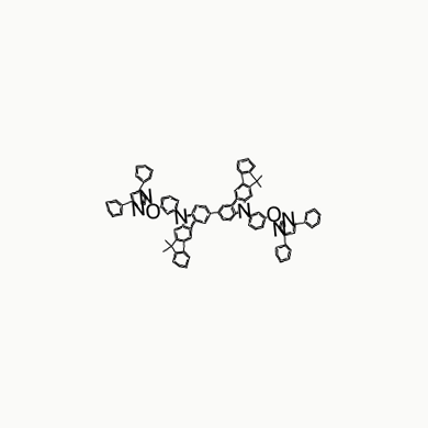 CC1(C)c2ccccc2-c2cc3c4cc(-c5ccc6c(c5)c5cc7c(cc5n6-c5cccc(Oc6nc(-c8ccccc8)cc(-c8ccccc8)n6)c5)C(C)(C)c5ccccc5-7)ccc4n(-c4cccc(Oc5nc(-c6ccccc6)cc(-c6ccccc6)n5)c4)c3cc21